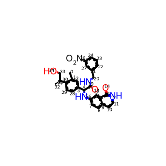 Cc1cc(C(Nc2ccc3cc[nH]c(=O)c3c2)C(=O)NCc2cccc([N+](=O)[O-])c2)ccc1[C@@H](C)CO